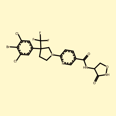 O=C(NC1CONC1=O)c1ccc(N2CCC(c3cc(Cl)c(Br)c(Cl)c3)(C(F)(F)F)C2)nc1